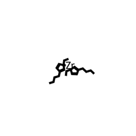 CCCCC1=C[C](CC)([Zr][C]2(CC)C=CC(CCCC)=C2)C=C1